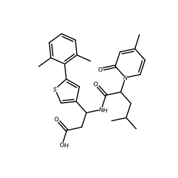 Cc1ccn(C(CC(C)C)C(=O)NC(CC(=O)O)c2csc(-c3c(C)cccc3C)c2)c(=O)c1